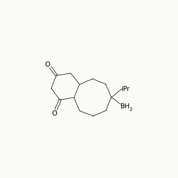 BC1(C(C)C)CCCC2C(=O)CC(=O)CC2CC1